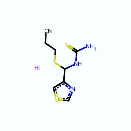 I.N#CCCSC(NC(N)=S)c1cscn1